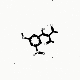 COc1cc(C(O)=C(C(C)=O)C(C)=O)cc([N+](=O)[O-])c1